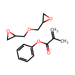 C(OCC1CO1)C1CO1.C=C(C)C(=O)Oc1ccccc1